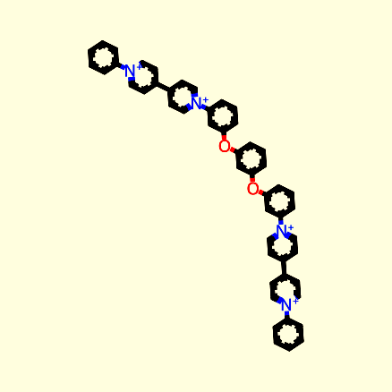 c1ccc(-[n+]2ccc(-c3cc[n+](-c4cccc(Oc5cccc(Oc6cccc(-[n+]7ccc(-c8cc[n+](-c9ccccc9)cc8)cc7)c6)c5)c4)cc3)cc2)cc1